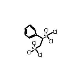 Cl[Si](Cl)(Cl)CC(c1ccccc1)[Si](Cl)(Cl)Cl